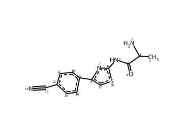 CC(N)C(=O)Nc1nc(-c2ccc(C#N)cc2)cs1